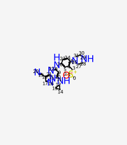 C[S+]([O-])Cc1cc(Nc2cc(NC3CC3)n3ncc(C#N)c3n2)ccc1N1CCNCC1